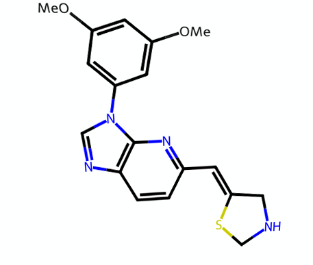 COc1cc(OC)cc(-n2cnc3ccc(C=C4CNCS4)nc32)c1